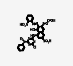 CCN(c1ccccc1)c1nc(Cl)nc(Nc2cc(S(=O)(=O)O)cc3cc(SOOO)c(N=Nc4ccccc4S(=O)(=O)O)c(O)c23)n1